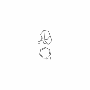 C1=CC=CNC=C1.O=P12CC3CC(CC(C3)C1)C2